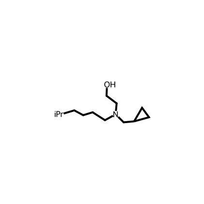 CC(C)CCCCN(CCO)CC1CC1